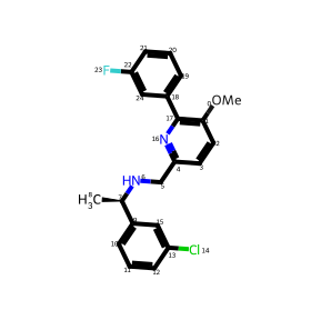 COc1ccc(CN[C@H](C)c2cccc(Cl)c2)nc1-c1cccc(F)c1